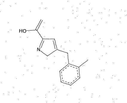 C=C(O)C1=NCC(Cc2ccccc2C)=C1